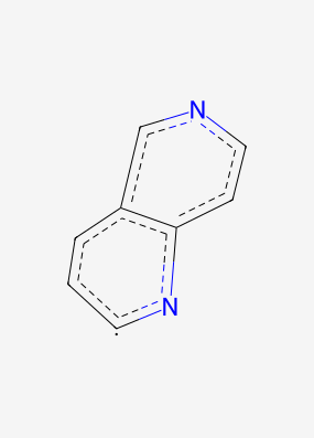 [c]1ccc2cnccc2n1